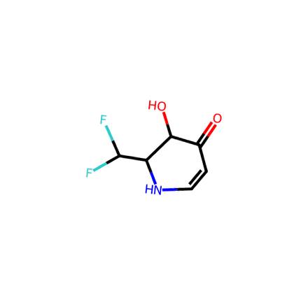 O=C1C=CNC(C(F)F)C1O